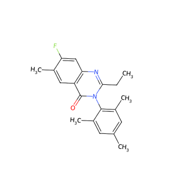 CCc1nc2cc(F)c(C)cc2c(=O)n1-c1c(C)cc(C)cc1C